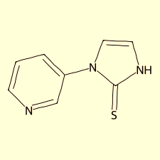 S=c1[nH]ccn1-c1cccnc1